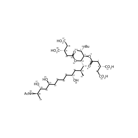 CCCC[C@@H](C)[C@@H](OC(=O)C[C@@H](CC(=O)O)C(=O)O)[C@H](C[C@@H](C)C[C@H](O)CCCC[C@H](O)C[C@@H](O)[C@@H](C)NC(C)=O)OC(=O)C[C@@H](CC(=O)O)C(=O)O